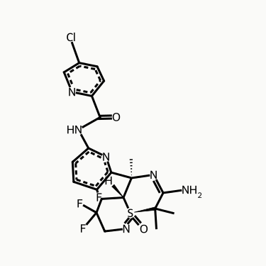 CC1(C)C(N)=N[C@](C)(c2nc(NC(=O)c3ccc(Cl)cn3)ccc2F)[C@H]2CC(F)(F)CN=[S@@]21=O